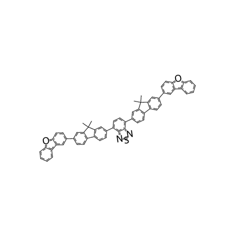 CC1(C)c2cc(-c3ccc4oc5ccccc5c4c3)ccc2-c2ccc(-c3ccc(-c4ccc5c(c4)C(C)(C)c4cc(-c6ccc7oc8ccccc8c7c6)ccc4-5)c4nsnc34)cc21